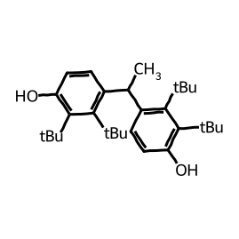 CC(c1ccc(O)c(C(C)(C)C)c1C(C)(C)C)c1ccc(O)c(C(C)(C)C)c1C(C)(C)C